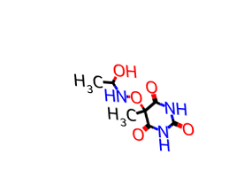 CC(O)NOC1(C)C(=O)NC(=O)NC1=O